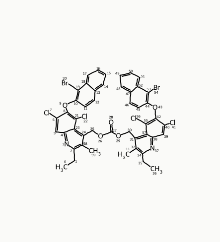 CCc1nc2cc(Cl)c(Oc3ccc4ccccc4c3Br)c(Cl)c2c(COC(=O)OCc2c(C)c(CC)nc3cc(Cl)c(Oc4ccc5ccccc5c4Br)c(Cl)c23)c1C